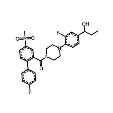 CCC(O)c1ccc(N2CCN(C(=O)c3cc(S(C)(=O)=O)ccc3-c3ccc(F)cc3)CC2)c(F)c1